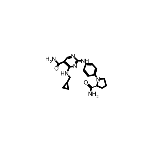 NC(=O)c1cnc(Nc2ccc(N3CCC[C@H]3C(N)=O)cc2)nc1NCC1CC1